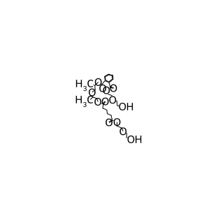 CC(COC(=O)CCCCC(=O)OCCOCCO)OCC(C)OC(=O)c1ccccc1C(=O)OCCOCCO